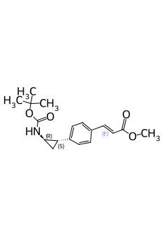 COC(=O)/C=C/c1ccc([C@@H]2C[C@H]2NC(=O)OC(C)(C)C)cc1